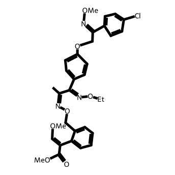 CCON=C(C(C)=NOCc1ccccc1C(=COC)C(=O)OC)c1ccc(OCC(=NOC)c2ccc(Cl)cc2)cc1